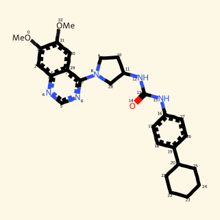 COc1cc2ncnc(N3CCC(NC(=O)Nc4ccc(C5CCCCC5)cc4)C3)c2cc1OC